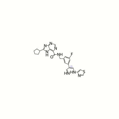 N=C/C(=C\Nc1cscn1)c1cc(F)cc(CNC(=O)c2ncnc3nc(C4CCCC4)[nH]c23)c1